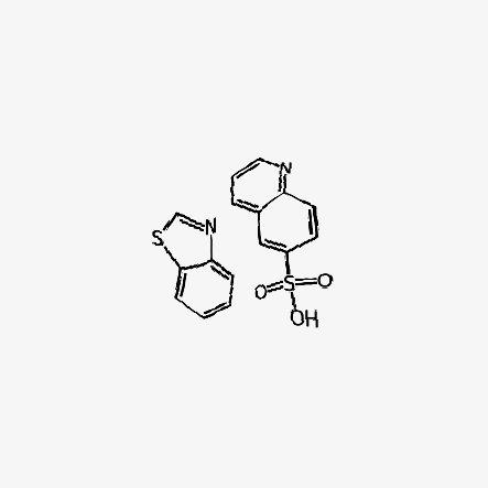 O=S(=O)(O)c1ccc2ncccc2c1.c1ccc2scnc2c1